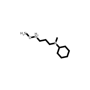 CN(CCC[SiH2]O[SiH3])C1CCCCC1